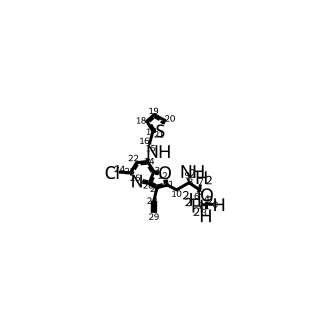 [2H]C([2H])([2H])OC([2H])([2H])[C@H](N)Cc1oc2c(NCc3cccs3)cc(Cl)nc2c1C#C